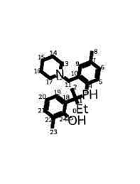 CCC(C)(Pc1ccc(C)cc1CN1CCCCC1)c1cccc(C)c1O